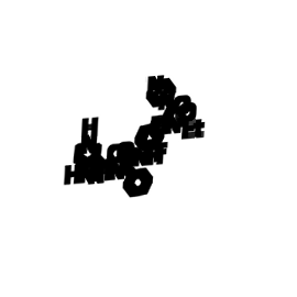 CCC(=O)N[C@H](Cc1ccc(NC(=O)[C@@H](NC(=O)c2n[nH]c3c2CNCC3)C2CCCCC2)c(F)c1)C(=O)N1CCN(C)CC1